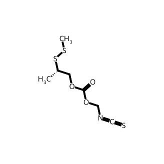 CSS[C@@H](C)COC(=O)OCN=C=S